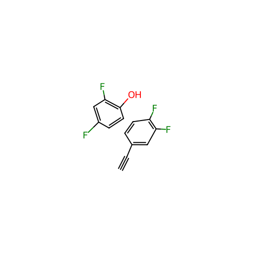 C#Cc1ccc(F)c(F)c1.Oc1ccc(F)cc1F